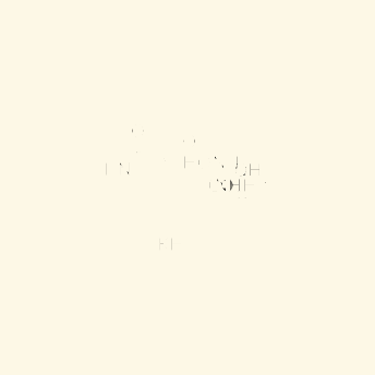 NN.O.O=C(O)O.O=C1Nc2ccccc2C1=O.[KH]